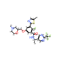 Cc1cnc(-c2cc(OCC3CN(C)CCO3)cc(C(=O)N[C@H](C)c3cnc(C(F)(F)F)nc3)c2F)s1